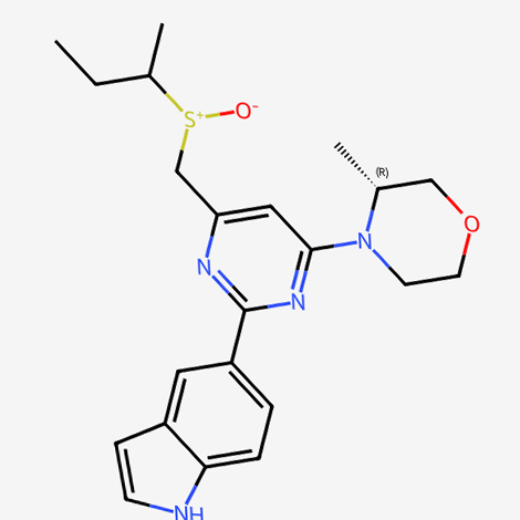 CCC(C)[S+]([O-])Cc1cc(N2CCOC[C@H]2C)nc(-c2ccc3[nH]ccc3c2)n1